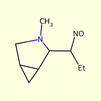 CCC(N=O)C1C2CC2CN1C